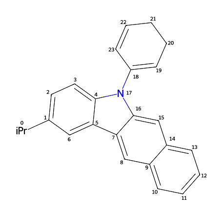 CC(C)c1ccc2c(c1)c1cc3ccccc3cc1n2C1=CCCC=C1